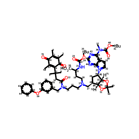 CC1=C(C)C(=O)C(C(C)(C)CC(=O)N(CCCN(CCC(NC(=O)OC(C)(C)C)C(=O)O)C[C@H]2C[C@@H](n3ccc4c(N(C)C(=O)OC(C)(C)C)ncnc43)[C@@H]3OC(C)(C)O[C@H]23)Cc2cccc(Oc3ccccc3)c2)=C(C)C1=O